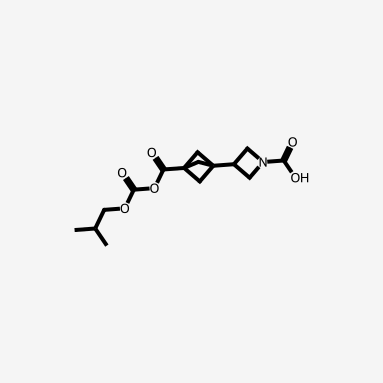 CC(C)COC(=O)OC(=O)C12CC(C3CN(C(=O)O)C3)(C1)C2